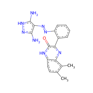 Cc1ccc2[nH]c(=O)c(-c3ccccc3N=Nc3c(N)n[nH]c3N)nc2c1C